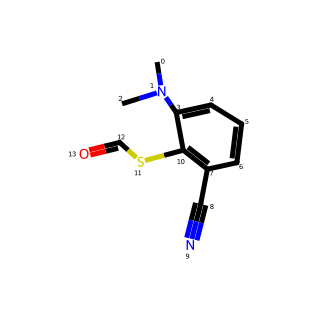 CN(C)c1cccc(C#N)c1SC=O